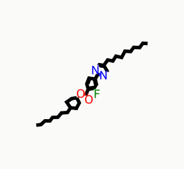 CCCCCCCCCCc1cnc(-c2ccc(C(=O)OC3CCC(CCCCCCCC)CC3)c(F)c2)nc1